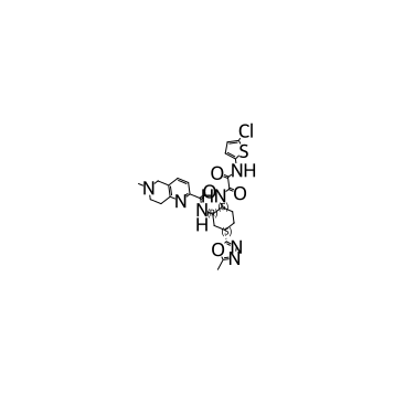 Cc1nnc([C@H]2CC[C@H](NC(=O)C(=O)Nc3ccc(Cl)s3)[C@H](NC(=O)c3ccc4c(n3)CCN(C)C4)C2)o1